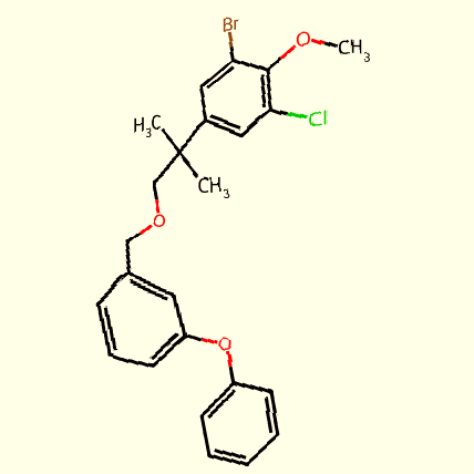 COc1c(Cl)cc(C(C)(C)COCc2cccc(Oc3ccccc3)c2)cc1Br